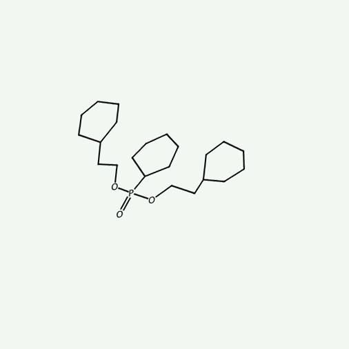 O=P(OCCC1CCCCC1)(OCCC1CCCCC1)C1CCCCC1